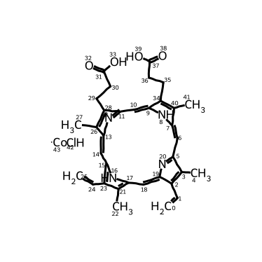 C=CC1=C(C)c2cc3[nH]c(cc4nc(cc5[nH]c(cc1n2)c(C)c5C=C)C(C)=C4CCC(=O)O)c(CCC(=O)O)c3C.Cl.[Co]